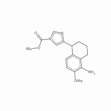 COc1ccc2c(c1N)CCCC2c1cn(C(=O)OC(C)(C)C)cn1